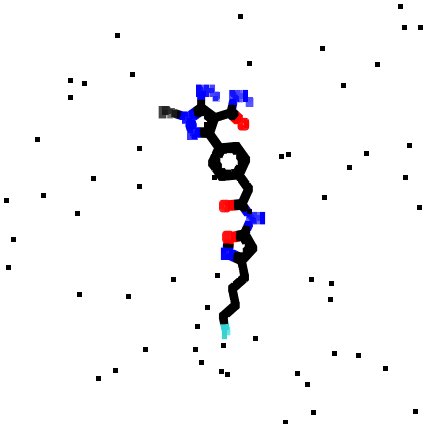 CC(C)n1nc(-c2ccc(CC(=O)Nc3cc(CCCCF)no3)cc2)c(C(N)=O)c1N